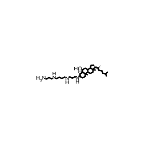 CC(C)CCC[C@@H](C)[C@H]1CCC2C3CC(O)[C@H]4C[C@H](NCCCNCCCCNCCCN)CCC4(C)C3CCC21C